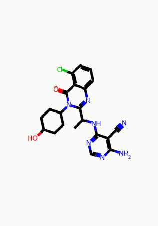 CC(Nc1ncnc(N)c1C#N)c1nc2cccc(Cl)c2c(=O)n1C1CCC(O)CC1